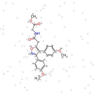 COC(=O)CNC(=O)Cc1onc(-c2ccc(OC)cc2)c1-c1ccc(OC)cc1